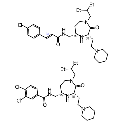 CCC(CC)CN1CC[C@@H](CNC(=O)/C=C/c2ccc(Cl)cc2)N[C@@H](CCN2CCCCC2)C1=O.CCC(CC)CN1CC[C@@H](CNC(=O)c2ccc(Cl)c(Cl)c2)N[C@@H](CCN2CCCCC2)C1=O